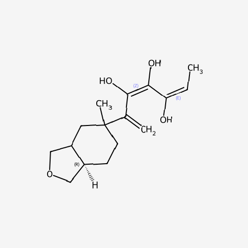 C=C(/C(O)=C(O)\C(O)=C/C)C1(C)CC[C@H]2COCC2C1